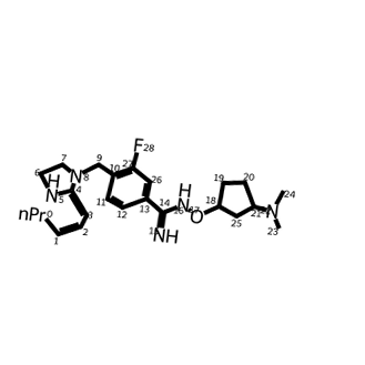 CCC/C=C\C=C1/NCCN1Cc1ccc(C(=N)NOC2CCC(N(C)C)C2)cc1F